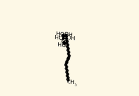 CCCCCCCCCCC#CC#CCCCCCCCC(CC1OC(O)C(O)C(O)C1O)C(=O)O